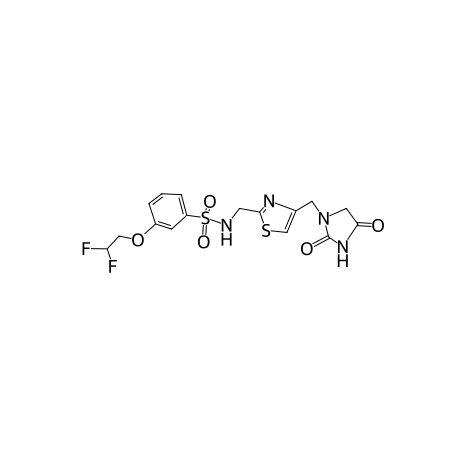 O=C1CN(Cc2csc(CNS(=O)(=O)c3cccc(OCC(F)F)c3)n2)C(=O)N1